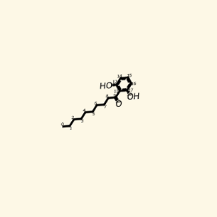 CCCCCCCCCC(=O)c1c(O)cccc1O